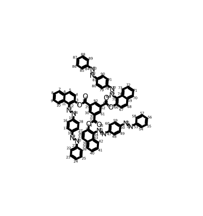 O=C(Oc1ccc2ccccc2c1/N=N/c1ccc(/N=N/c2ccccc2)cc1)c1cc(C(=O)Oc2ccc3ccccc3c2/N=N/c2ccc(/N=N/c3ccccc3)cc2)cc(C(=O)Oc2ccc3ccccc3c2/N=N/c2ccc(/N=N/c3ccccc3)cc2)c1